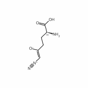 N#[N+]C=C([O-])CC[C@H](N)C(=O)O